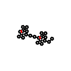 c1ccc(-c2cccc(-c3ccc(N(c4cccc5c4-c4ccccc4C5(c4ccccc4)c4ccccc4)c4c(-c5cccc(-c6ccc(-c7ccc(-c8ccc(N(c9cccc%10c9-c9ccccc9C%10(c9ccccc9)c9ccccc9)c9c(-c%10ccccc%10)c%10ccccc%10c%10ccccc9%10)cc8)cc7)cc6)c5)c5ccccc5c5ccccc45)cc3)c2)cc1